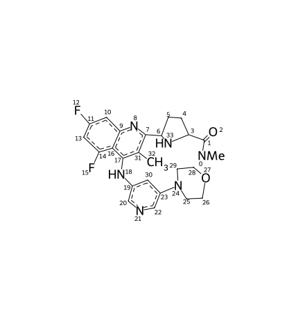 CNC(=O)C1CCC(c2nc3cc(F)cc(F)c3c(Nc3cncc(N4CCOCC4)c3)c2C)N1